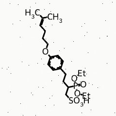 CCOP(=O)(OCC)C(CCc1ccc(OCCCC=C(C)C)cc1)CS(=O)(=O)O